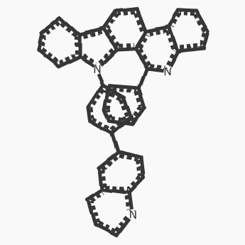 c1ccc(-c2nc3ccccc3c3ccc4c5ccccc5n(-c5ccc(-c6ccc7ncccc7c6)cc5)c4c23)cc1